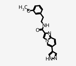 COc1cccc(CCNC(=O)c2cn3cc(-c4cn[nH]c4)ccc3n2)c1